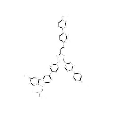 CCCCC(CC)Cn1c2ccc(-c3ccc(N4N=C(/C=C/c5ccc(-c6ccc(C(=O)O)cc6)cc5)CC4c4ccc(-c5ccc(C(=O)O)cc5)cc4)cc3)cc2c2cc(C(C)(C)C)ccc21